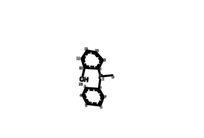 CP(c1ccccc1)c1ccccc1O